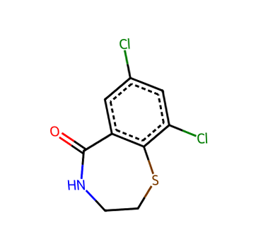 O=C1NCCSc2c(Cl)cc(Cl)cc21